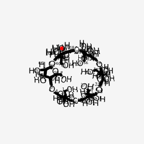 OC[C@H]1OC2OC3[C@@H](CO)OC(O[C@H]4[C@H](O)[C@@H](O)C(O[C@H]5[C@H](O)[C@@H](O)C(O[C@H]6[C@H](O)[C@@H](O)C(OC7[C@@H](CO)OC(CC1[C@H](O)[C@H]2O)[C@H](O)[C@H]7O)O[C@@H]6CO)O[C@@H]5CO)O[C@@H]4CO)[C@H](O)[C@H]3O